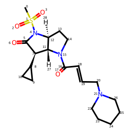 CS(=O)(=O)N1C(=O)[C@H](C2CC2)[C@@H]2[C@@H]1CCN2C(=O)/C=C/CN1CCCCC1